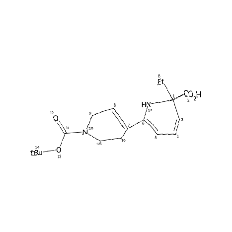 CCC1(C(=O)O)C=CC=C(C2=CCN(C(=O)OC(C)(C)C)CC2)N1